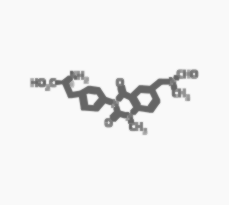 CN(C=O)Cc1ccc2c(c1)c(=O)n(-c1ccc(C[C@H](N)C(=O)O)cc1)c(=O)n2C